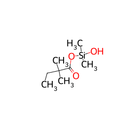 CCC(C)(C)C(=O)O[Si](C)(C)O